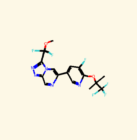 COC(F)(F)c1nnc2cnc(-c3cnc(OC(C)(C)C(F)(F)F)c(F)c3)cn12